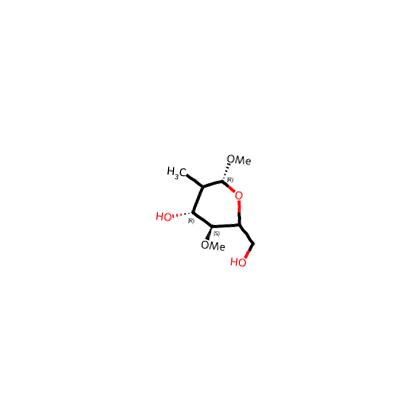 CO[C@@H]1OC(CO)[C@@H](OC)[C@H](O)C1C